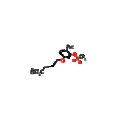 CCOC(=O)CCCOc1ccc(C(C)=O)c(OS(=O)(=O)C(F)(F)F)c1